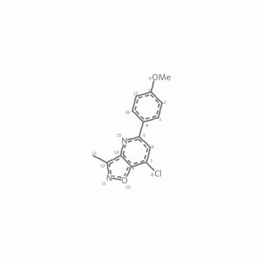 COc1ccc(-c2cc(Cl)c3onc(C)c3n2)cc1